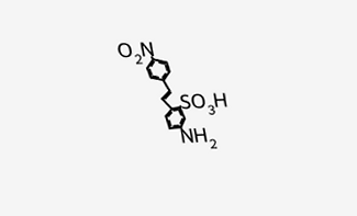 Nc1ccc(/C=C/c2ccc([N+](=O)[O-])cc2)c(S(=O)(=O)O)c1